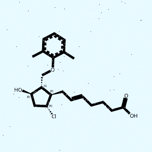 Cc1cccc(C)c1OC[C@@H]1[C@@H](CC=CCCCC(=O)O)[C@H](Cl)C[C@H]1O